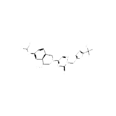 O=c1nc(N2Cc3ccc(OC(F)F)cc3C(O)C2)cnn1Cc1ccc(C(F)(F)F)s1